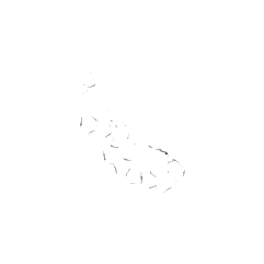 COC(=O)CCCC(c1ccccc1)N1/C=C/c2ccc3cc4c5c6c(cc7c8c6c6c9c%10c(c%11c6c5c3c2-%11)C1CC%10=CC(C=C7)C89)C4